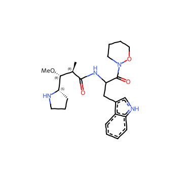 CO[C@@H]([C@@H]1CCCN1)[C@@H](C)C(=O)NC(Cc1c[nH]c2ccccc12)C(=O)N1CCCCO1